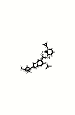 CC(C)Oc1cc2nc(C34COC(CF)(C3)C4)cn2cc1C(=O)Nc1cccn(C2CC2)c1=O